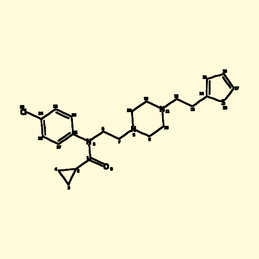 O=C(C1CC1)N(CCN1CCN(CCc2cccs2)CC1)c1ccc(Cl)cc1